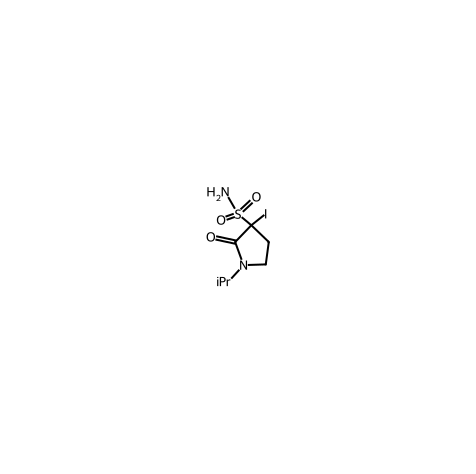 CC(C)N1CCC(I)(S(N)(=O)=O)C1=O